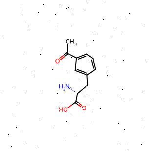 CC(=O)c1cccc(C[C@@H](N)C(=O)O)c1